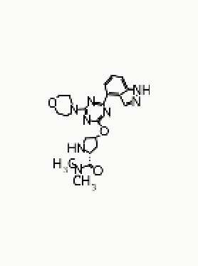 CN(C)C(=O)[C@H]1C[C@H](Oc2nc(-c3cccc4[nH]ncc34)nc(N3CCOCC3)n2)CN1